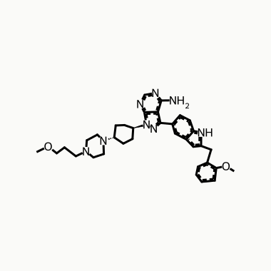 COCCCN1CCN([C@H]2CC[C@H](n3nc(-c4ccc5[nH]c(Cc6ccccc6OC)cc5c4)c4c(N)ncnc43)CC2)CC1